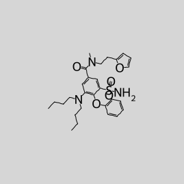 CCCCN(CCCC)c1cc(C(=O)N(C)CCc2ccco2)cc(S(N)(=O)=O)c1Oc1ccccc1